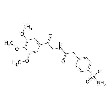 COc1cc(C(=O)CNC(=O)Cc2ccc(S(N)(=O)=O)cc2)cc(OC)c1OC